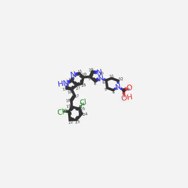 O=C(O)N1CCC(n2cc(-c3cnc4[nH]cc(/C=C/c5c(Cl)cccc5Cl)c4c3)cn2)CC1